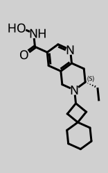 CC[C@H]1Cc2ncc(C(=O)NO)cc2CN1C1CC2(CCCCC2)C1